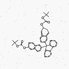 CC(C)(C)OC(=O)Oc1ccc2cc(C3(c4ccc5c(c4)=CCC(OC(=O)OC(C)(C)C)C=5)c4ccccc4-c4ccccc43)ccc2c1